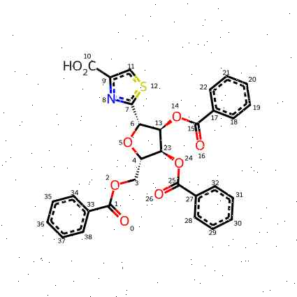 O=C(OC[C@@H]1O[C@H](c2nc(C(=O)O)cs2)[C@@H](OC(=O)c2ccccc2)[C@H]1OC(=O)c1ccccc1)c1ccccc1